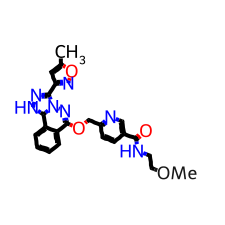 COCCNC(=O)c1ccc(COC2=NN3C(c4cc(C)on4)=NNC3c3ccccc32)nc1